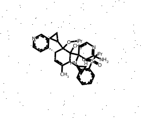 CC1=C[C@H](c2ccncc2)C(OC(C)C)(C2CC2)C(C)(C2(Nc3ccccc3S(=O)(=O)C(C)C)C=CN=C(N)N2)[C@H]1C1CC1